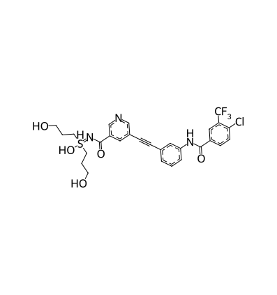 O=C(N=[SH](O)(CCCO)CCCO)c1cncc(C#Cc2cccc(NC(=O)c3ccc(Cl)c(C(F)(F)F)c3)c2)c1